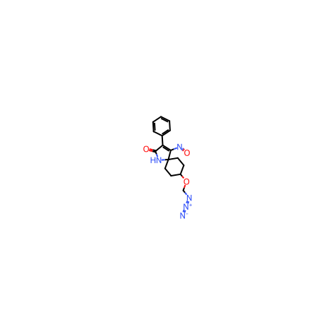 [N-]=[N+]=NCOC1CCC2(CC1)NC(=O)C(c1ccccc1)=C2N=O